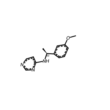 COc1cccc([C@H](C)Nc2ccncn2)c1